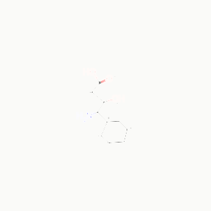 NC(C(O)CC(=O)O)C1CCCCC1